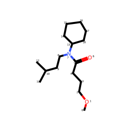 COCCCC(=O)N(CCC(C)C)C1CCCCC1